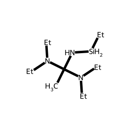 CC[SiH2]NC(C)(N(CC)CC)N(CC)CC